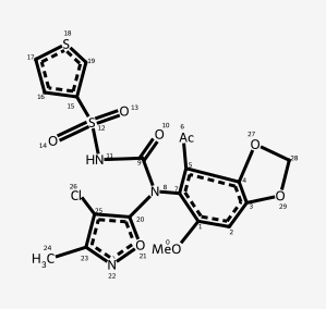 COc1cc2c(c(C(C)=O)c1N(C(=O)NS(=O)(=O)c1ccsc1)c1onc(C)c1Cl)OCO2